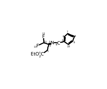 CCOC(=O)C/C(=N\Cc1ccccc1)C(F)F